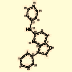 c1ccc(-c2coc3ccc(Nc4ccncc4)nc23)cc1